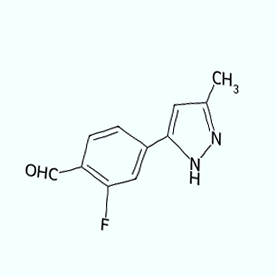 Cc1cc(-c2ccc(C=O)c(F)c2)[nH]n1